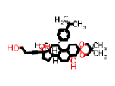 C=C(C)c1ccc([C@H]2C[C@@]3(C)[C@@H](CC[C@@]3(O)C#CCCO)[C@@H]3CC[C@@]4(O)CC5(CCC4=C32)OCC(C)(C)CO5)cc1